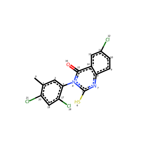 Cc1cc(-n2c(S)nc3ccc(Cl)cc3c2=O)c(Cl)cc1Cl